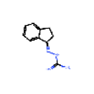 N=C(N)NN=C1CCc2ccccc21